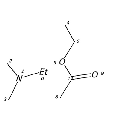 CCN(C)C.CCOC(C)=O